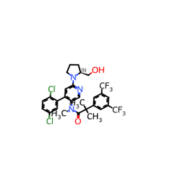 CN(C(=O)C(C)(C)c1cc(C(F)(F)F)cc(C(F)(F)F)c1)c1cnc(N2CCC[C@H]2CO)cc1-c1cc(Cl)ccc1Cl